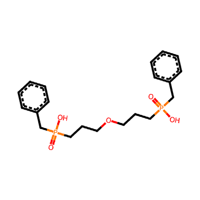 O=P(O)(CCCOCCCP(=O)(O)Cc1ccccc1)Cc1ccccc1